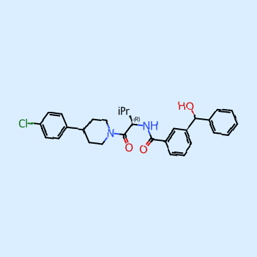 CC(C)[C@@H](NC(=O)c1cccc(C(O)c2ccccc2)c1)C(=O)N1CCC(c2ccc(Cl)cc2)CC1